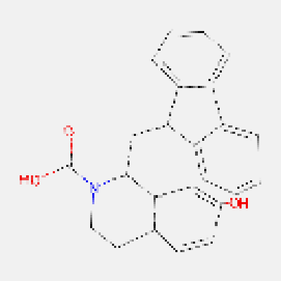 O=C(O)N1CCc2ccc(O)cc2C1CC1c2ccccc2-c2ccccc21